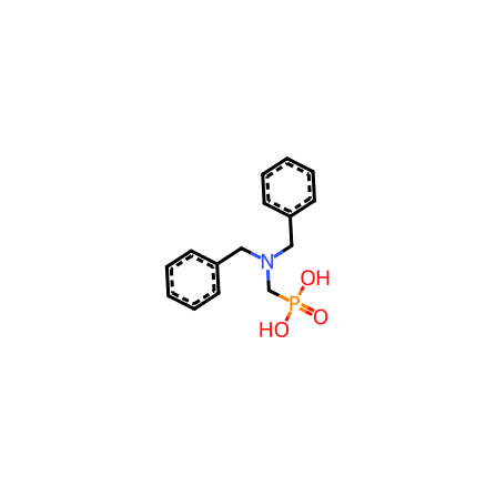 O=P(O)(O)CN(Cc1ccccc1)Cc1ccccc1